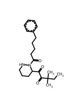 CCC(C)(C)C(=O)C(=O)C1CCCNN1C(=O)CCCCc1ccccc1